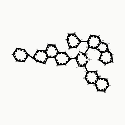 c1ccc(-c2ccc3c(ccc4cc(-c5nc(-c6ccc7ccccc7c6)nc(-c6c(-c7ccccc7)ccc7oc8ccccc8c67)n5)ccc43)c2)cc1